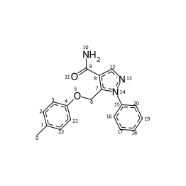 Cc1ccc(OCc2c(C(N)=O)cnn2-c2ccccc2)cc1